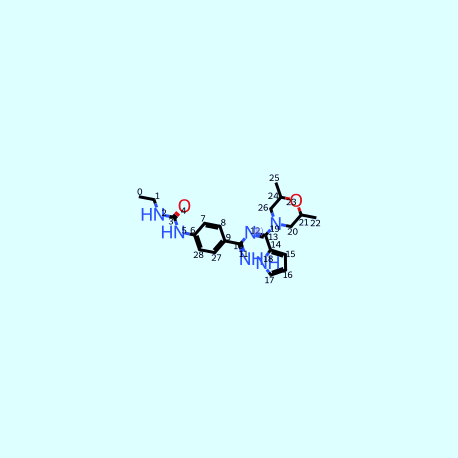 CCNC(=O)Nc1ccc(C(=N)/N=C(\c2ccc[nH]2)N2CC(C)OC(C)C2)cc1